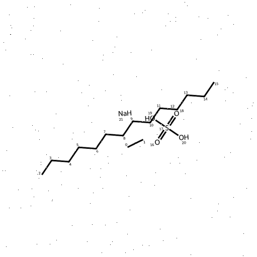 CC.CCCCCCCCCCCCCC.O=S(=O)(O)O.[NaH]